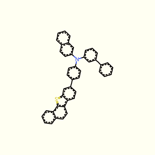 c1ccc(-c2cccc(N(c3ccc(-c4ccc5c(c4)sc4c6ccccc6ccc54)cc3)c3ccc4ccccc4c3)c2)cc1